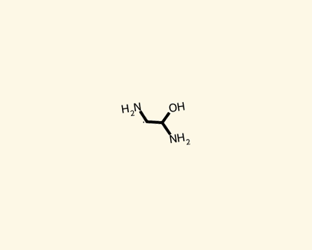 N[CH]C(N)O